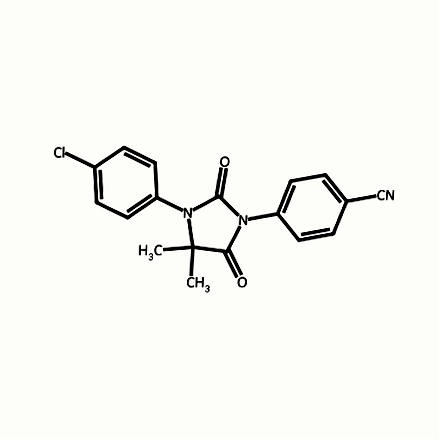 CC1(C)C(=O)N(c2ccc(C#N)cc2)C(=O)N1c1ccc(Cl)cc1